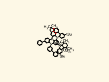 CC1(C)Cc2cc3c(cc2C1)N(c1ccc(C(C)(C)C)cc1-c1ccccc1)c1cc(N2c4ccc(C(C)(C)C)cc4C4(C)C(C)(C)CCC(C)(C)C24C)cc2c1B3c1ccc(-c3ccccc3)cc1N2c1cccc(-c2ccccc2)c1